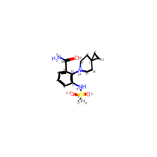 CS(=O)(=O)Nc1cccc(C(N)=O)c1N1CCC2(CC1)CC2